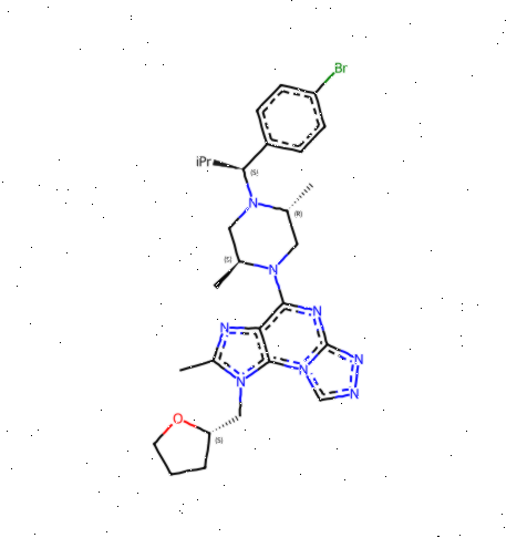 Cc1nc2c(N3C[C@@H](C)N([C@H](c4ccc(Br)cc4)C(C)C)C[C@@H]3C)nc3nncn3c2n1C[C@@H]1CCCO1